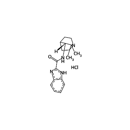 CC1(C)[C@H](NC(=O)c2nc3ccccc3[nH]2)C2CCN1CC2.Cl